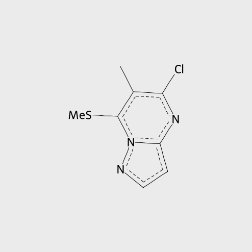 CSc1c(C)c(Cl)nc2ccnn12